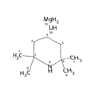 CC1(C)CCCC(C)(C)N1.[LiH].[MgH2]